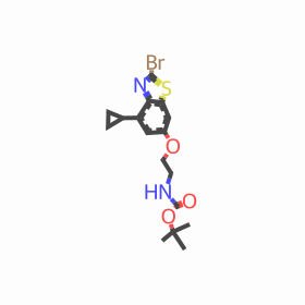 CC(C)(C)OC(=O)NCCOc1cc(C2CC2)c2nc(Br)sc2c1